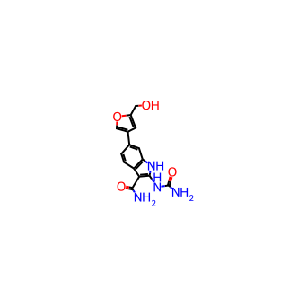 NC(=O)Nc1[nH]c2cc(-c3coc(CO)c3)ccc2c1C(N)=O